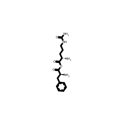 NC(=O)NCCC[C@H](N)C(=O)OC(=O)[C@@H](N)Cc1ccccc1